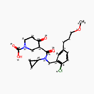 COCCCc1ccc(Cl)c(CN(C(=O)C2CN(C(=O)O)CCC2=O)C2CC2)c1